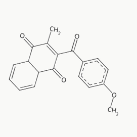 COc1ccc(C(=O)C2=C(C)C(=O)C3C=CC=CC3C2=O)cc1